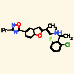 C=C(N/C=C(\C)C1=CC2C=C(c3nc(C(C)C)no3)C=CC2O1)c1c(F)cccc1Cl